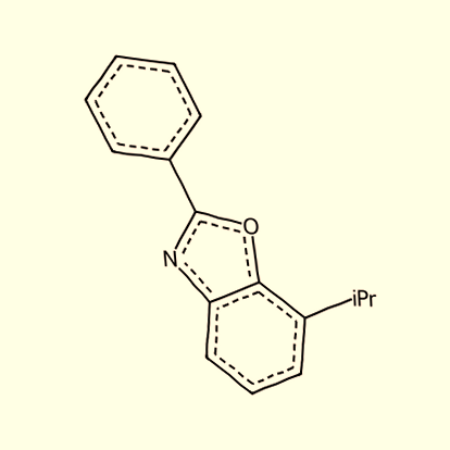 CC(C)c1cccc2nc(-c3ccccc3)oc12